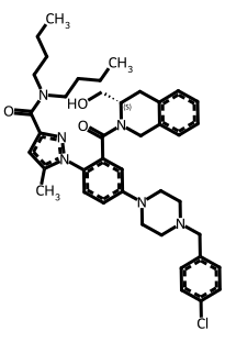 CCCCN(CCCC)C(=O)c1cc(C)n(-c2ccc(N3CCN(Cc4ccc(Cl)cc4)CC3)cc2C(=O)N2Cc3ccccc3C[C@H]2CO)n1